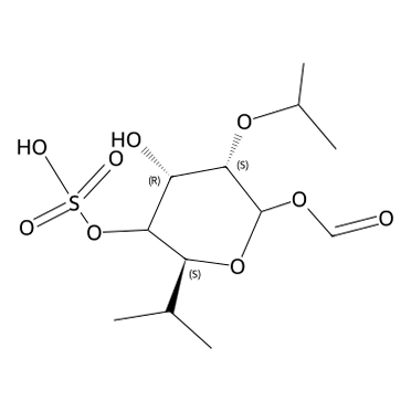 CC(C)O[C@@H]1C(OC=O)O[C@@H](C(C)C)C(OS(=O)(=O)O)[C@@H]1O